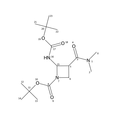 CN(C)C(=O)C1CN(C(=O)OC(C)(C)C)C1NC(=O)OC(C)(C)C